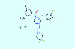 Cl.Cl.O=C(c1cc(C(F)(F)F)cc(C(F)(F)F)c1)N1CCN(CCN2CCC(F)(F)CC2)C[C@H]1Cc1ccc(F)c(F)c1